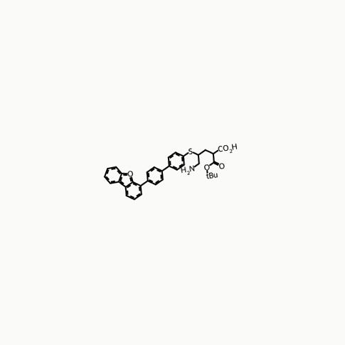 CC(C)(C)OC(=O)C(CC(CN)Sc1ccc(-c2ccc(-c3cccc4c3oc3ccccc34)cc2)cc1)C(=O)O